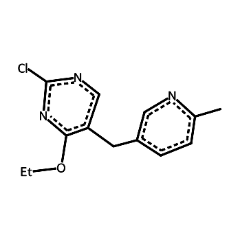 CCOc1nc(Cl)ncc1Cc1ccc(C)nc1